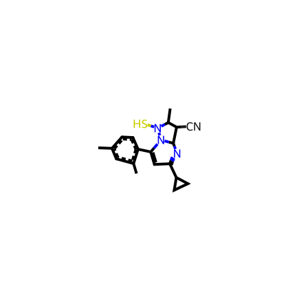 Cc1ccc(C2=CC(C3CC3)=NC3C(C#N)C(C)N(S)N23)c(C)c1